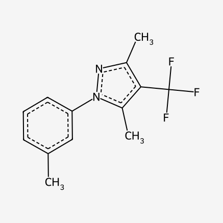 Cc1cccc(-n2nc(C)c(C(F)(F)F)c2C)c1